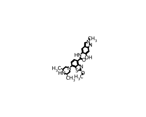 COc1nc2c(C(=O)Nc3cc4cn(C)nc4cc3O)ccc(N3C[C@H](C)N[C@@H](C)C3)c2s1